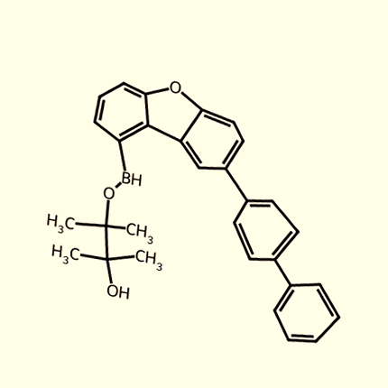 CC(C)(O)C(C)(C)OBc1cccc2oc3ccc(-c4ccc(-c5ccccc5)cc4)cc3c12